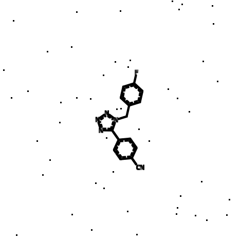 N#Cc1ccc(-c2nnnn2Cc2ccc(F)cc2)cc1